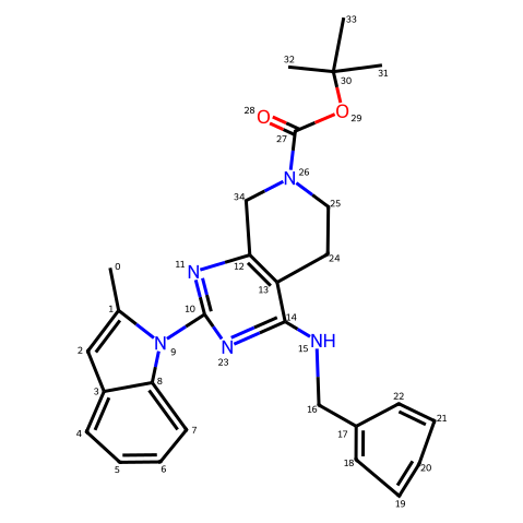 Cc1cc2ccccc2n1-c1nc2c(c(NCc3ccccc3)n1)CCN(C(=O)OC(C)(C)C)C2